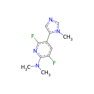 CN(C)c1nc(F)c(-c2cncn2C)cc1F